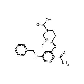 NC(=O)c1ccc(OCc2ccccc2)cc1O[C@@H]1CCN(C(=O)O)C[C@H]1F